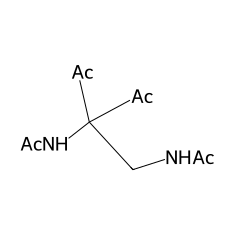 CC(=O)NCC(NC(C)=O)(C(C)=O)C(C)=O